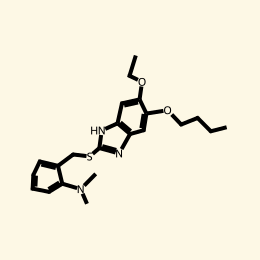 CCCCOc1cc2nc(SCc3ccccc3N(C)C)[nH]c2cc1OCC